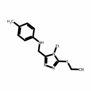 CCn1c(CNc2ccc(C)cc2)nnc1SCC#N